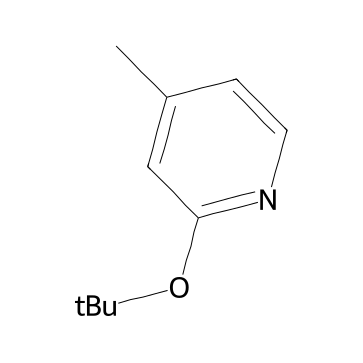 Cc1ccnc(OC(C)(C)C)c1